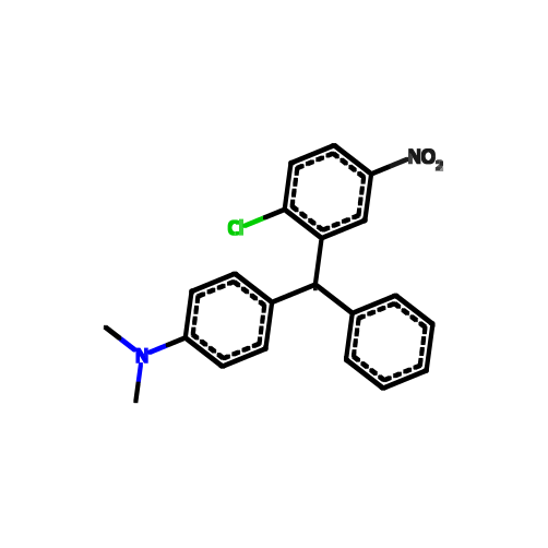 CN(C)c1ccc([C](c2ccccc2)c2cc([N+](=O)[O-])ccc2Cl)cc1